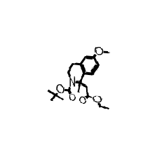 CCOC(=O)CC1(C)c2ccc(OC)cc2CCN1C(=O)OC(C)(C)C